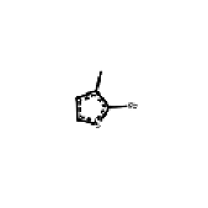 Cc1ccs[c]1[Sb]